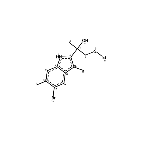 CCSCC(C)(O)c1[nH]c2cc(C)c(Br)cc2c1C